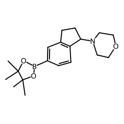 CC1(C)OB(c2ccc3c(c2)CCC3N2CCOCC2)OC1(C)C